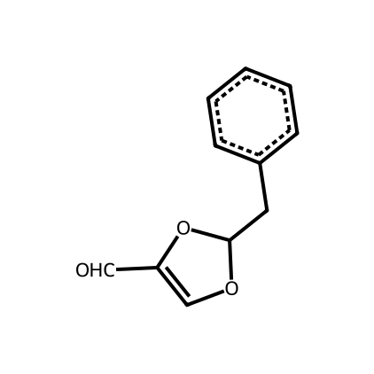 O=CC1=COC(Cc2ccccc2)O1